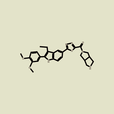 CCc1c(-c2ccc(OC)c(OC)c2)[nH]c2ccc(-c3nnc(C(=O)N4CC5CNCC5C4)o3)cc12